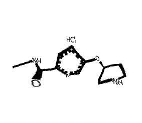 CNC(=O)c1ccc(O[C@H]2CCNC2)cn1.Cl